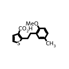 COc1ccc(C)cc1CCc1sccc1C(=O)O